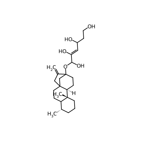 C=C1CC23CCC4[C@@H](C)CCC[C@@]4(C)[C@@H]2CCC1(OC(O)/C(O)=C/C(O)CCO)C3